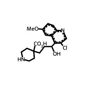 COc1ccc2ncc(Cl)c(C(O)CCC3(C(=O)O)CCNCC3)c2c1